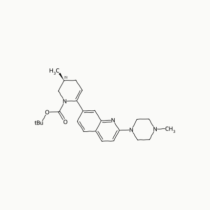 C[C@H]1CC=C(c2ccc3ccc(N4CCN(C)CC4)nc3c2)N(C(=O)OC(C)(C)C)C1